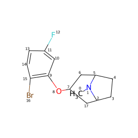 CN1C2CCC1CC(Oc1cc(F)ccc1Br)C2